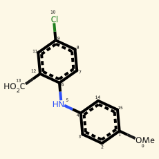 COc1ccc(Nc2ccc(Cl)cc2C(=O)O)cc1